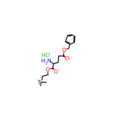 C[Si](C)(C)CCOC(=O)C(N)CCC(=O)OCc1ccccc1.Cl